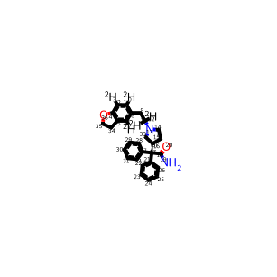 [2H]c1c([2H])c2c(c([2H])c1CC([2H])([2H])N1CC[C@@H](C(C(N)=O)(c3ccccc3)c3ccccc3)C1)CCO2